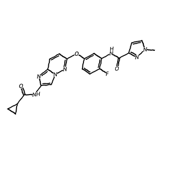 Cn1ccc(C(=O)Nc2cc(Oc3ccc4nc(NC(=O)C5CC5)cn4n3)ccc2F)n1